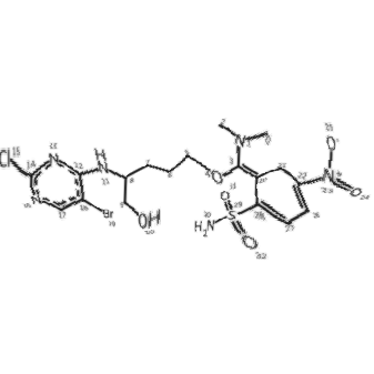 CN(C)C(OCCCC(CO)Nc1nc(Cl)ncc1Br)=C1CC([N+](=O)[O-])=CC=C1S(N)(=O)=O